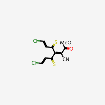 COC(=O)C(C#N)=C(C(=S)C=CCl)C(=S)C=CCl